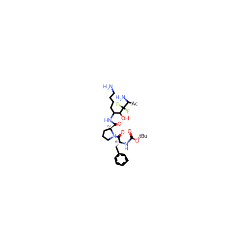 CC(=O)C(N)C(F)(F)C(O)C(CCCCN)NC(=O)[C@@H]1CCCN1C(=O)[C@@H](Cc1ccccc1)NC(=O)OC(C)(C)C